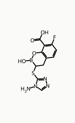 Nn1cnnc1SC1Cc2ccc(F)c(C(=O)O)c2OB1O